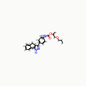 CCCOCC(C)OC(=O)Nc1ccc(-c2n[nH]c3c2Cc2ccccc2-3)cc1